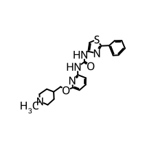 CN1CCC(COc2cccc(NC(=O)Nc3csc(-c4ccccc4)n3)n2)CC1